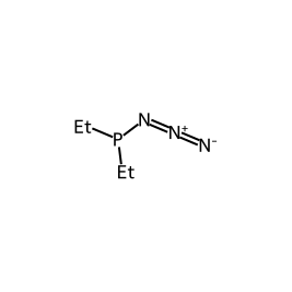 CCP(CC)N=[N+]=[N-]